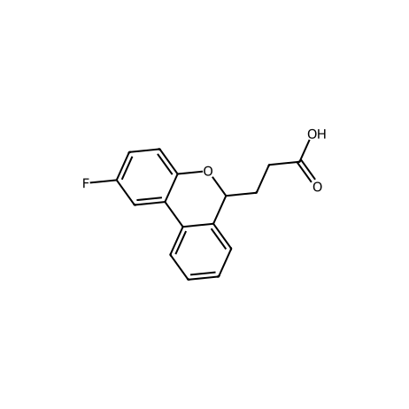 O=C(O)CCC1Oc2ccc(F)cc2-c2ccccc21